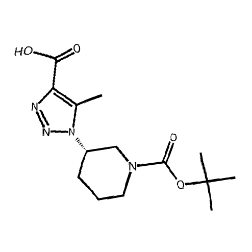 Cc1c(C(=O)O)nnn1[C@H]1CCCN(C(=O)OC(C)(C)C)C1